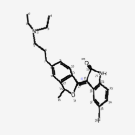 CCN(CC)CCCc1ccc2c(c1)C(C)O/C2=C1/C(=O)Nc2ccc(F)cc21